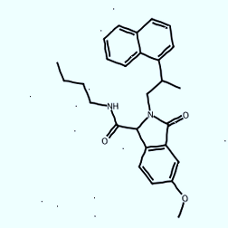 CCCCNC(=O)C1c2ccc(OC)cc2C(=O)N1CC(C)c1cccc2ccccc12